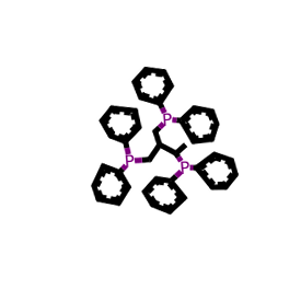 CC(C(CP(c1ccccc1)c1ccccc1)CP(c1ccccc1)c1ccccc1)P(c1ccccc1)c1ccccc1